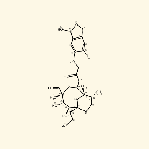 C=C[C@]1(C)C[C@@H](OC(=O)COc2cc3c(cc2F)COB3O)[C@@]2(C)C[C@](CCC(C)=O)(CC[C@H]2C)[C@@H](C)[C@@H]1O